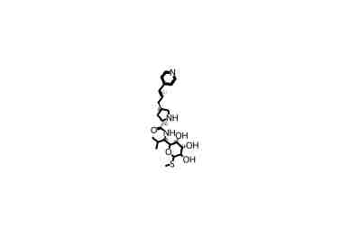 CSC1OC([C@H](NC(=O)[C@@H]2C[C@@H](C/C=C/c3ccncc3)CN2)C(C)C)[C@H](O)[C@H](O)C1O